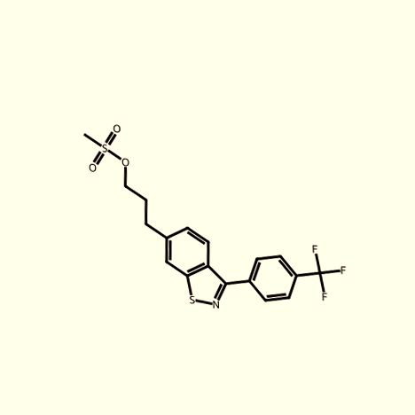 CS(=O)(=O)OCCCc1ccc2c(-c3ccc(C(F)(F)F)cc3)nsc2c1